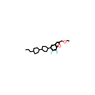 CCCC1CCC(C2CCC(c3cc4cc(COCC)oc4c(F)c3F)CC2)CC1